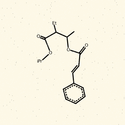 CCC(C(=O)OC(C)C)C(C)OC(=O)C=Cc1ccccc1